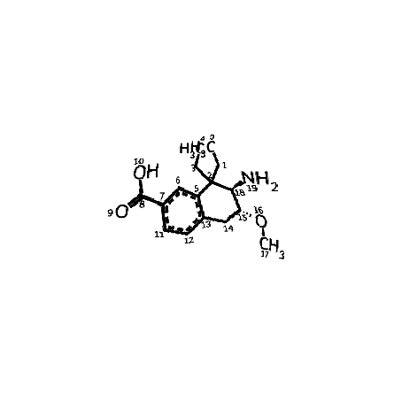 CCC1(CC)c2cc(C(=O)O)ccc2C[C@@H](OC)[C@@H]1N